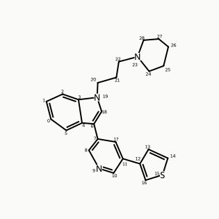 c1ccc2c(c1)c(-c1cncc(-c3ccsc3)c1)cn2CCCN1CCCCC1